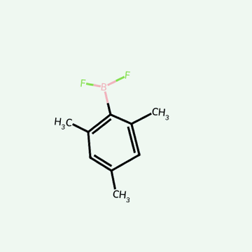 Cc1cc(C)c(B(F)F)c(C)c1